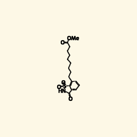 COC(=O)CCCCCCCCc1cccc2c1S(=O)(=O)NC2=O